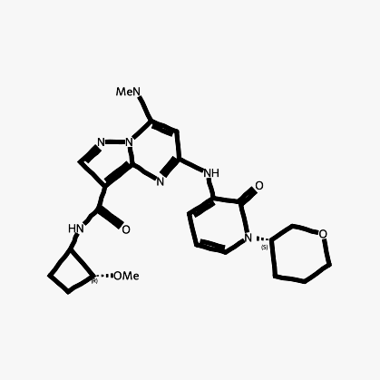 CNc1cc(Nc2cccn([C@H]3CCCOC3)c2=O)nc2c(C(=O)NC3CC[C@H]3OC)cnn12